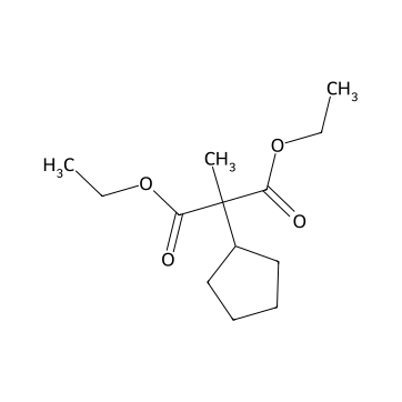 CCOC(=O)C(C)(C(=O)OCC)C1CCCC1